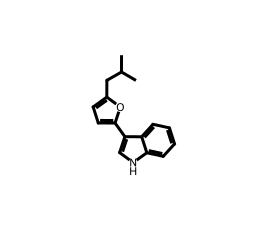 CC(C)Cc1ccc(-c2c[nH]c3ccccc23)o1